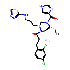 CC(C)C[C@@H]1CN(C(=O)[C@H](N)Cc2ccc(Cl)cc2Cl)[C@@H](CCCNc2nncs2)CN1C(=O)c1c[nH]cn1